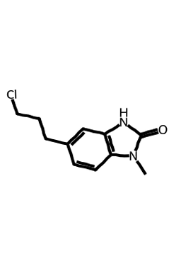 Cn1c(=O)[nH]c2cc(CCCCl)ccc21